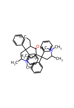 CCC(C(=O)C(CC)C(CC(C)N(C)C)(c1ccccc1)c1ccccc1)C(CC(C)N(C)C)(c1ccccc1)c1ccccc1